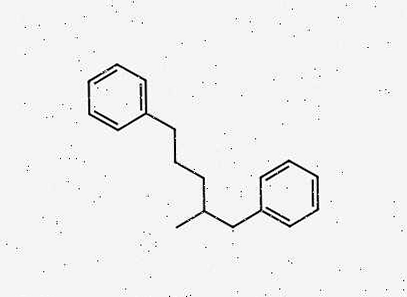 CC([CH]c1ccccc1)CCCc1ccccc1